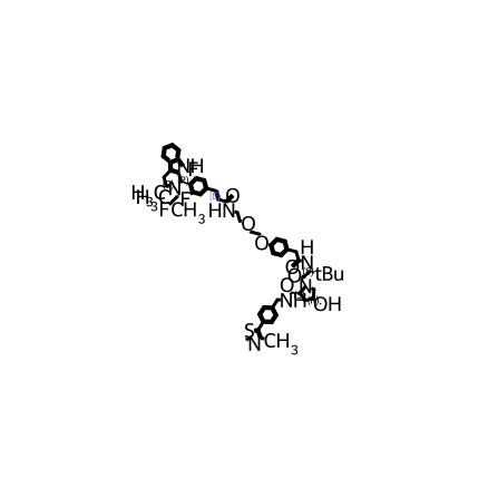 Cc1ncsc1-c1ccc(CNC(=O)[C@@H]2C[C@@H](O)CN2C(=O)[C@@H](NC(=O)Cc2ccc(OCCOCCNC(=O)/C=C/c3cc(F)c([C@@H]4c5[nH]c6ccccc6c5C[C@@H](C)N4CC(C)(C)F)c(F)c3)cc2)C(C)(C)C)cc1